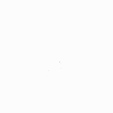 CCCN(CCC)C(=O)n1cc(Cl)c(S(=O)(=O)c2cccc(F)c2F)n1